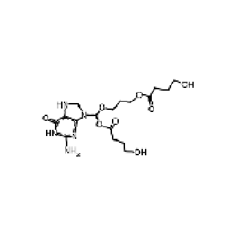 Nc1nc2c(c(=O)[nH]1)NCN2C(OCCCOC(=O)CCCO)OC(=O)CCCO